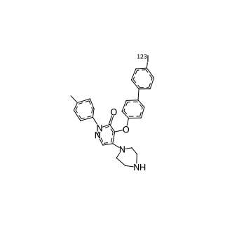 Cc1ccc(-n2ncc(N3CCNCC3)c(Oc3ccc(-c4ccc([123I])cc4)cc3)c2=O)cc1